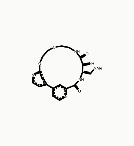 CN/C=C1/NC(=O)c2cc(ccn2)-c2ccnc(c2)OCCOCCNC(=O)C1=N